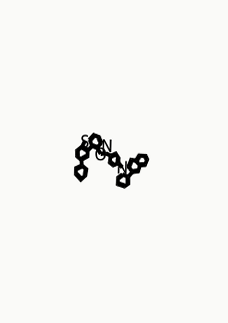 c1ccc(-c2ccc3sc4ccc5nc(-c6ccc(-n7c8ccccc8c8cc9ccccc9cc87)cc6)oc5c4c3c2)cc1